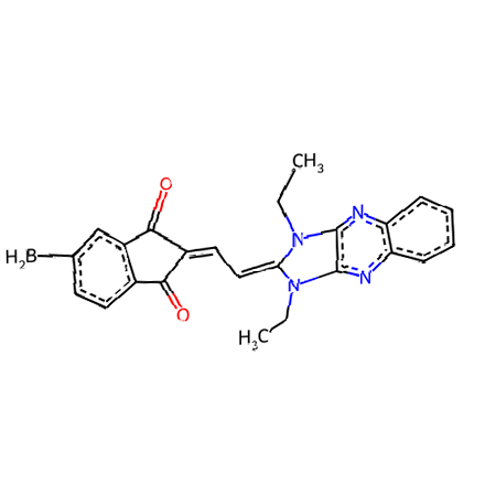 Bc1ccc2c(c1)C(=O)/C(=C/C=C1N(CC)c3nc4ccccc4nc3N1CC)C2=O